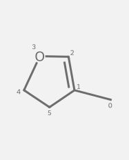 CC1=COCC1